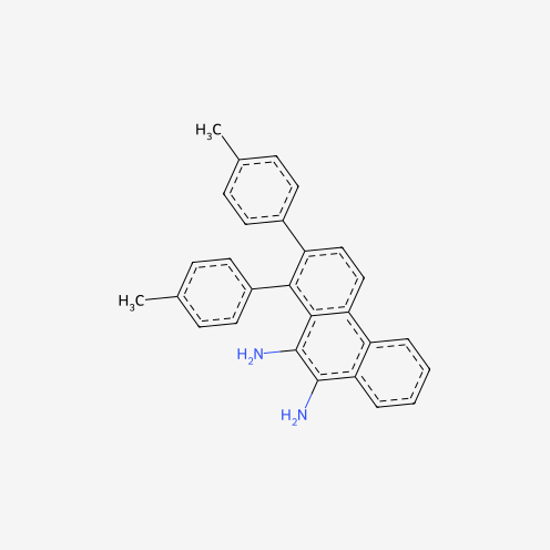 Cc1ccc(-c2ccc3c(c(N)c(N)c4ccccc43)c2-c2ccc(C)cc2)cc1